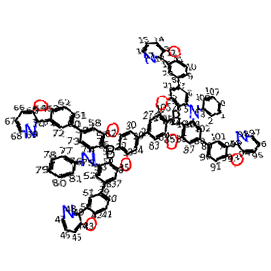 c1ccc(N2c3cc(-c4ccc5oc6cccnc6c5c4)cc4c3B3c5c(cc(-c6cc7c8c(c6)Oc6cc(-c9ccc%10oc%11cccnc%11c%10c9)cc9c6B8c6c(cc(-c8ccc%10oc%11cccnc%11c%10c8)cc6N9c6ccccc6)O7)cc5Oc5cc(-c6ccc7oc8cccnc8c7c6)cc2c53)O4)cc1